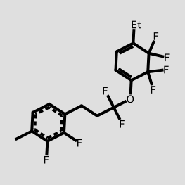 CCC1=CC=C(OC(F)(F)CCc2ccc(C)c(F)c2F)C(F)(F)C1(F)F